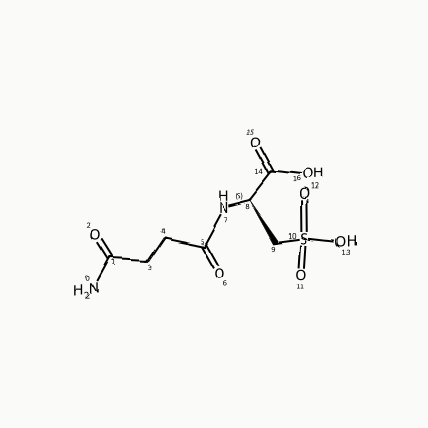 NC(=O)CCC(=O)N[C@H](CS(=O)(=O)O)C(=O)O